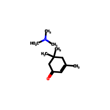 CC1=CC(=O)CC(C)(C)C1.CN(C)C(=O)O